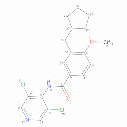 COc1ccc(C(=O)Nc2c(Cl)cncc2Cl)cc1CC1CCCC1